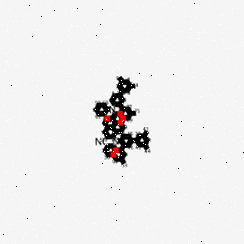 Cc1cc(C)cc(-c2ccc(N(C3=C4C=CC5=C6C(=CC=C(C=C3)C46)C(N(c3ccccc3C#N)c3ccc(-c4cc(C)cc(C)c4)cc3-c3cccc(C)c3)C=C5)c3ccccc3C#N)c(-c3cc(C)cc(C)c3)c2)c1